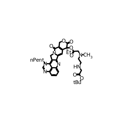 CCCCCN1C=Nc2cccc3nc4c(c1c23)Cn1c-4cc2c(c1=O)COC(=O)[C@@]2(CC)OC(=O)CN(C)CCNCC(=O)OC(C)(C)C